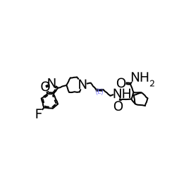 NC(=O)C1C2CCC(C2)C1C(=O)NC/C=C/CN1CCC(c2noc3cc(F)ccc23)CC1